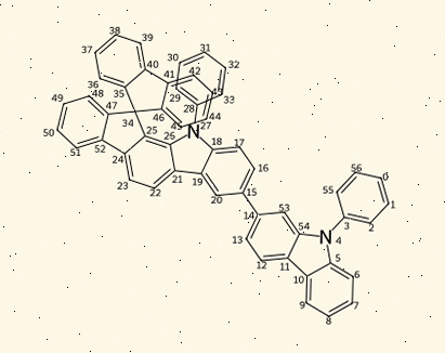 c1ccc(-n2c3ccccc3c3ccc(-c4ccc5c(c4)c4ccc6c(c4n5-c4ccccc4)C4(c5ccccc5-c5ccccc54)c4ccccc4-6)cc32)cc1